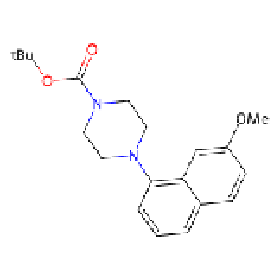 COc1ccc2cccc(N3CCN(C(=O)OC(C)(C)C)CC3)c2c1